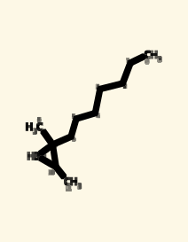 CCCCCCCC1(C)BC1C